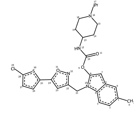 Cc1ccc2c(c1)cc(OC(=O)NC1CCN(C(C)C)CC1)n2Cc1cc(-c2ccc(Cl)s2)on1